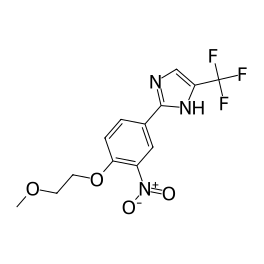 COCCOc1ccc(-c2ncc(C(F)(F)F)[nH]2)cc1[N+](=O)[O-]